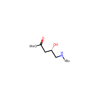 COC(=O)C[C@H](O)CNC(C)(C)C